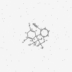 N#Cc1ccccc1C1(C(F)(C(F)(F)F)C(F)(F)F)C=C(F)[CH]C(F)=C1